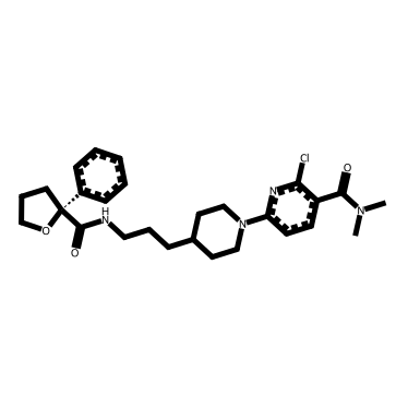 CN(C)C(=O)c1ccc(N2CCC(CCCNC(=O)[C@]3(c4ccccc4)CCCO3)CC2)nc1Cl